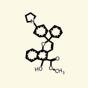 COC(=O)c1c2c(c3ccccc3c1O)OC(c1ccccc1)(c1ccc(N3CCCC3)cc1)C=C2